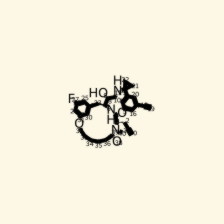 C#CC[C@H]1C(=O)N[C@H]([C@H](O)CNC2(c3cccc(C#C)c3)CC2)Cc2cc(F)cc(c2)OCCCCCC(=O)N1C